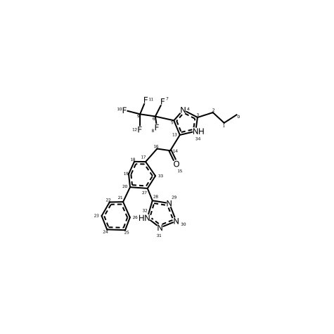 CCCc1nc(C(F)(F)C(F)(F)F)c(C(=O)Cc2ccc(-c3ccccc3)c(-c3nnn[nH]3)c2)[nH]1